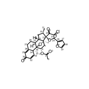 CC(=O)O[C@H]1C[C@@]2(C)[C@@H](C[C@@H](C)[C@]2(OC(=O)c2ccco2)C(=O)CCl)[C@@H]2CCC3=CC(=O)C=C[C@]3(C)C12Cl